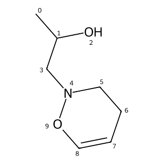 CC(O)CN1CCC=CO1